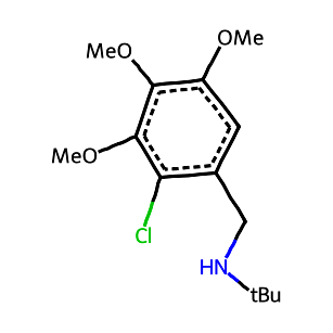 COc1cc(CNC(C)(C)C)c(Cl)c(OC)c1OC